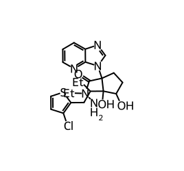 CCC(Cc1sccc1Cl)C1(O)C(O)CCC1(C(=O)N(N)CC)n1cnc2cccnc21